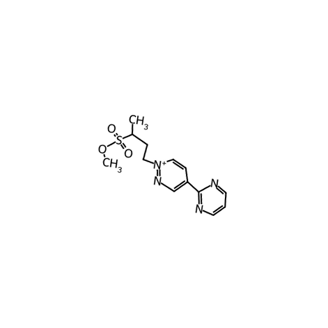 COS(=O)(=O)C(C)CC[n+]1ccc(-c2ncccn2)cn1